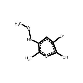 CONc1cc(Br)c(O)nc1C